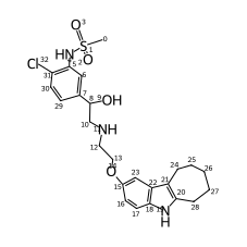 CS(=O)(=O)Nc1cc(C(O)CNCCOc2ccc3[nH]c4c(c3c2)CCCCC4)ccc1Cl